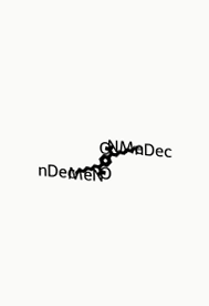 CCCCCCCCCCCCCCCCC(C(=O)NC)c1ccc(C(CCCCCCCCCCCCCCCC)C(=O)NC)cc1